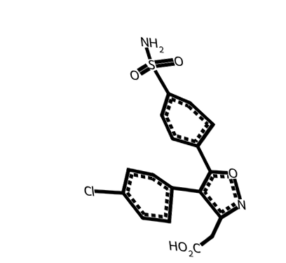 NS(=O)(=O)c1ccc(-c2onc(CC(=O)O)c2-c2ccc(Cl)cc2)cc1